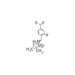 CC(C)(C)[S+]([O-])/N=C/c1ccc(C(F)F)cc1F